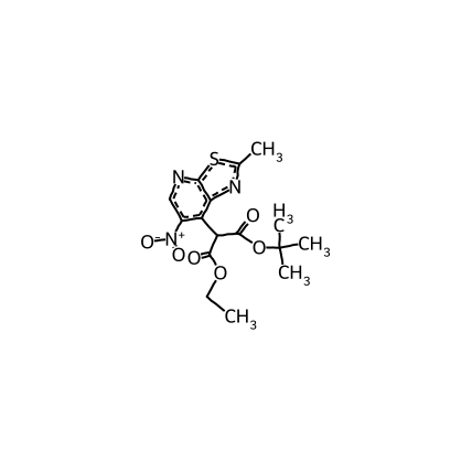 CCOC(=O)C(C(=O)OC(C)(C)C)c1c([N+](=O)[O-])cnc2sc(C)nc12